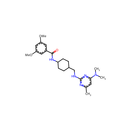 COc1cc(OC)cc(C(=O)NC2CCC(CNc3nc(C)cc(N(C)C)n3)CC2)c1